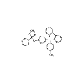 COP(=O)(Oc1ccc(C2(c3ccc(C)cc3)c3ccccc3-c3ccccc32)cc1)c1ccccc1